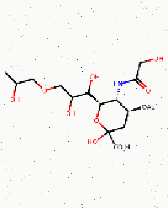 CC(=O)O[C@H]1CC(O)(C(=O)O)O[C@@H](C(O)C(O)COCC(C)O)[C@@H]1NC(=O)CO